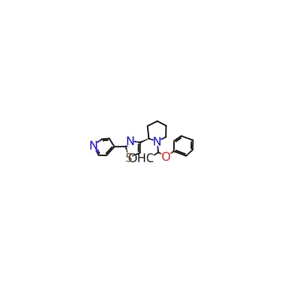 O=CC(Oc1ccccc1)N1CCCC[C@@H]1c1csc(-c2ccncc2)n1